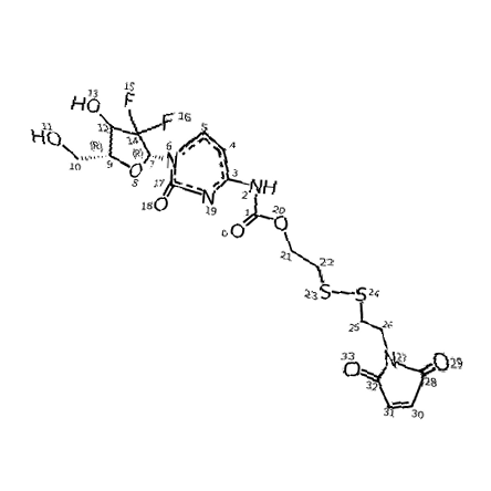 O=C(Nc1ccn([C@@H]2O[C@H](CO)C(O)C2(F)F)c(=O)n1)OCCSSCCN1C(=O)C=CC1=O